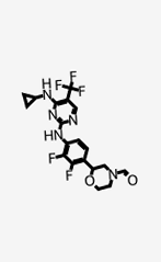 O=CN1CCOC(c2ccc(Nc3ncc(C(F)(F)F)c(NC4CC4)n3)c(F)c2F)C1